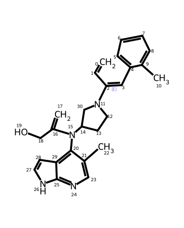 C=C/C(=C\c1ccccc1C)N1CCC(N(C(=C)CO)c2c(C)cnc3[nH]ccc23)C1